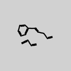 C=CC=C.C=CCC=Cc1ccccc1